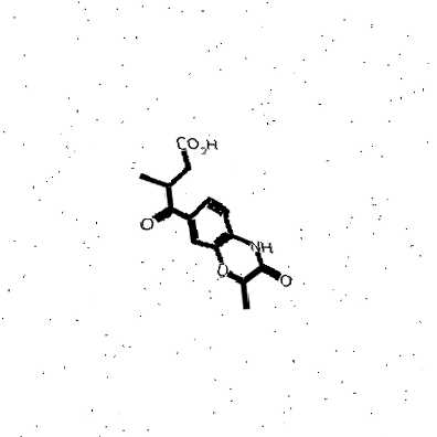 CC(CC(=O)O)C(=O)c1ccc2c(c1)OC(C)C(=O)N2